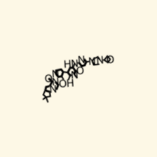 Cc1c(-c2ccnc(-n3ccn4c5c(cc4c3=O)CC(C)(C)C5)c2CO)cc(Nc2ccc(N3CCN(C4COC4)CC3)cn2)c(=O)n1C